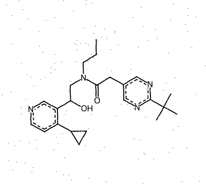 CCCN(CC(O)c1cnccc1C1CC1)C(=O)Cc1cnc(C(C)(C)C)nc1